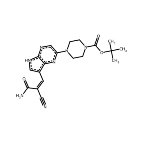 CC(C)(C)OC(=O)N1CCN(c2cnc3[nH]cc(C=C(C#N)C(N)=O)c3n2)CC1